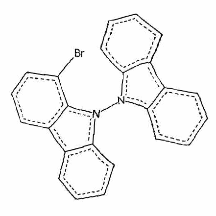 Brc1cccc2c3ccccc3n(-n3c4ccccc4c4ccccc43)c12